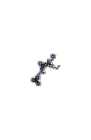 C=C/C=C\C=C\c1ccc(N(/C(C=C)=C/C=C/c2ccccc2)c2ccc(N(C3=CCCC=C3)c3ccc(/C(C=C)=C/C=C/c4ccc5c(c4)c4ccccc4n5-c4ccccc4)cc3)cc2)cc1